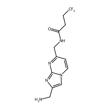 NCc1cn2ccc(CNC(=O)CCC(F)(F)F)nc2n1